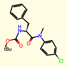 CN(C(=O)[C@H](Cc1ccccc1)NC(=O)OC(C)(C)C)c1ccc(Cl)cc1